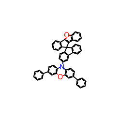 c1ccc(-c2ccc3c(c2)Oc2cc(-c4ccccc4)ccc2N3c2ccc3c(c2)-c2ccccc2C32c3ccccc3-c3oc4ccccc4c32)cc1